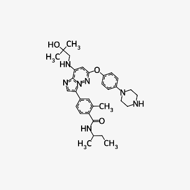 CCC(C)NC(=O)c1ccc(-c2cnc3c(NCC(C)(C)O)cc(Oc4ccc(N5CCNCC5)cc4)nn23)cc1C